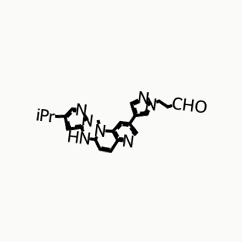 CC(C)c1cnnc(NC2C=Cc3ncc(-c4cnn(CCC=O)c4)cc3N2C)c1